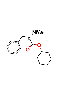 CN[C@@H](Cc1ccccc1)C(=O)OC1CCCCC1